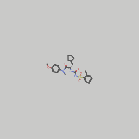 COc1ccc(N(C)C(=O)[C@H](CC2CCCC2)NC(=O)NS(=O)(=O)c2ccccc2C)cc1